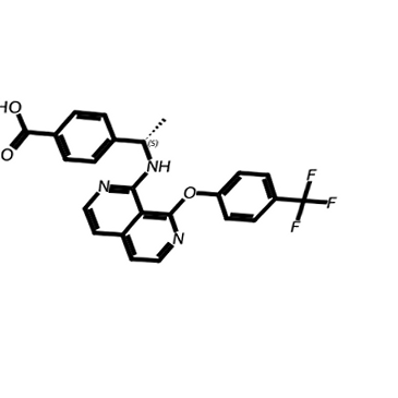 C[C@H](Nc1nccc2ccnc(Oc3ccc(C(F)(F)F)cc3)c12)c1ccc(C(=O)O)cc1